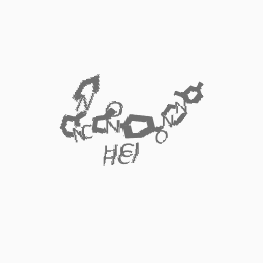 Cc1ccc(N2CCN(C(=O)c3ccc(N4CC(CN5CCCC5CN5CCCC5)CC4=O)cc3)CC2)c(C)c1.Cl.Cl